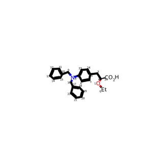 CCO[C@@H](Cc1ccc(N(Cc2ccccc2)Cc2ccccc2)cc1)C(=O)O